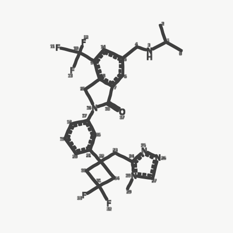 CC(C)NCc1cc2c(c(C(F)(F)F)c1)CN(c1cccc(C3(Cc4nncn4C)CC(F)(F)C3)c1)C2=O